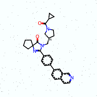 O=C(C1CC1)N1CC[C@@H](CN2C(=O)C3(CCCC3)N=C2c2ccc(-c3ccc4ccncc4c3)cc2)C1